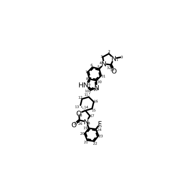 CN1CCN(c2ccc3[nH]c([C@H]4CC[C@]5(CC4)CN(c4ccccc4F)C(=O)O5)nc3c2)C1=O